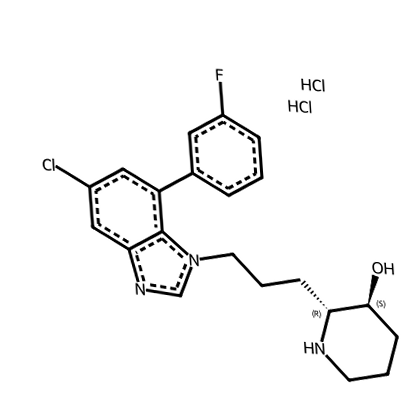 Cl.Cl.O[C@H]1CCCN[C@@H]1CCCn1cnc2cc(Cl)cc(-c3cccc(F)c3)c21